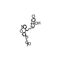 CC(=O)OCCOc1ccc2c(c1)/C(=C/CCN1CCC(O)(c3ccc(Cl)cc3)C(C)(C)C1)c1cccnc1CO2